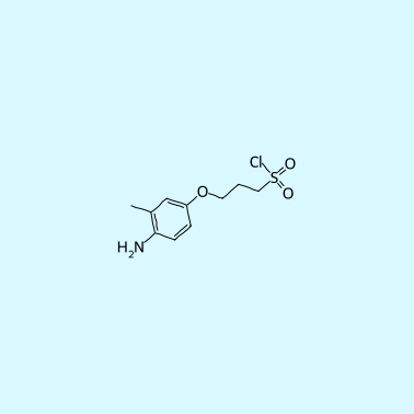 Cc1cc(OCCCS(=O)(=O)Cl)ccc1N